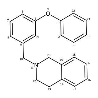 c1ccc(Oc2cccc(CN3CCc4ccccc4C3)c2)cc1